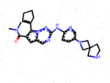 CN(C)C(=O)c1cc2cnc(Nc3ccc(N4CC5(CCNC5)C4)cn3)nn2c1C1=CCCC1